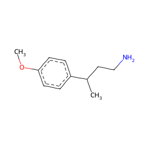 COc1ccc(C(C)CCN)cc1